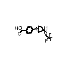 O=C(O)c1ccc(N2CCC(NCC(F)(F)F)C2)cc1